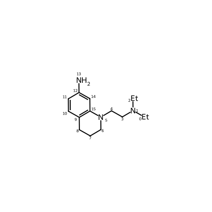 CCN(CC)CCN1CCCc2ccc(N)cc21